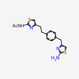 CC(=O)Nc1nc(CCc2ccc(Cc3csc(N)n3)cc2)cs1